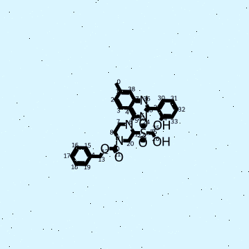 Cc1ccc2c(N3CCN(C(=O)OCc4ccccc4)CC3S(=O)(=O)CO)nc(-c3ccccc3O)nc2c1